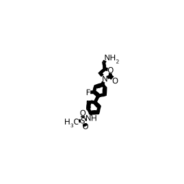 CS(=O)(=O)Nc1ccc(-c2ccc(N3CC(CN)OC3=O)cc2F)cc1